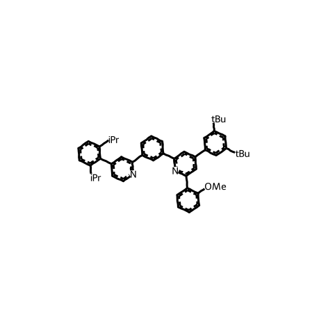 COc1ccccc1-c1cc(-c2cc(C(C)(C)C)cc(C(C)(C)C)c2)cc(-c2cccc(-c3cc(-c4c(C(C)C)cccc4C(C)C)ccn3)c2)n1